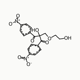 O=C(c1ccc([N+](=O)[O-])cc1)C(O)(COCCO)C(=O)c1ccc([N+](=O)[O-])cc1